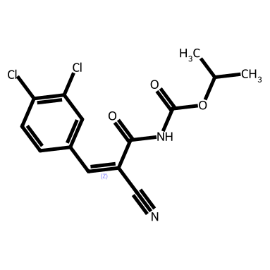 CC(C)OC(=O)NC(=O)/C(C#N)=C\c1ccc(Cl)c(Cl)c1